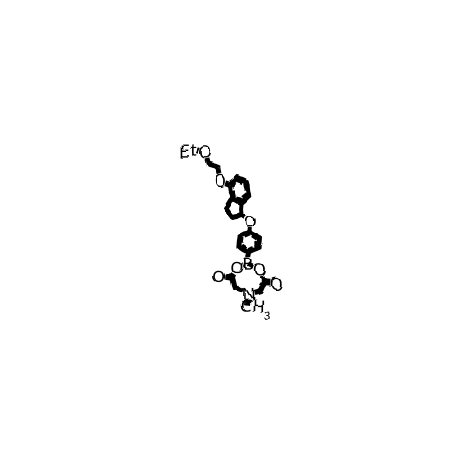 CCOCCOc1cccc2c1CCC2Oc1ccc(B2OC(=O)CN(C)CC(=O)O2)cc1